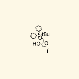 CC(C)(C)[Si](OC[C@H]1O[C@H](CI)C[C@H]1O)(c1ccccc1)c1ccccc1